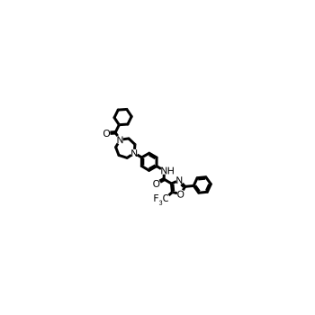 O=C(Nc1ccc(N2CCCN(C(=O)C3CCCCC3)CC2)cc1)c1nc(-c2ccccc2)oc1C(F)(F)F